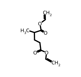 C=COC(=O)CCC(C)C(=O)OC=C